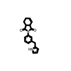 O=C1C2C=CCCC2C(=O)N1c1cccc(Cc2ccc[nH]2)c1